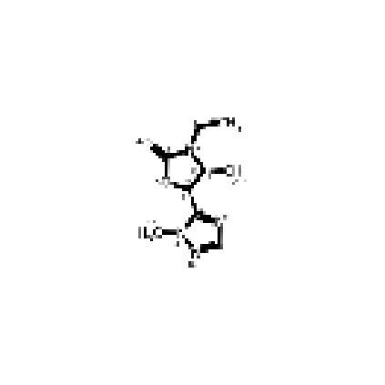 CCN1C(=O)O[C@H](c2ncnn2C)[C@@H]1C